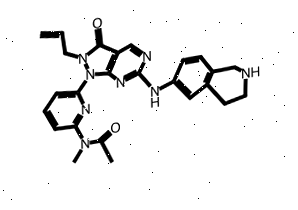 C=CCn1c(=O)c2cnc(Nc3ccc4c(c3)CCNC4)nc2n1-c1cccc(N(C)C(C)=O)n1